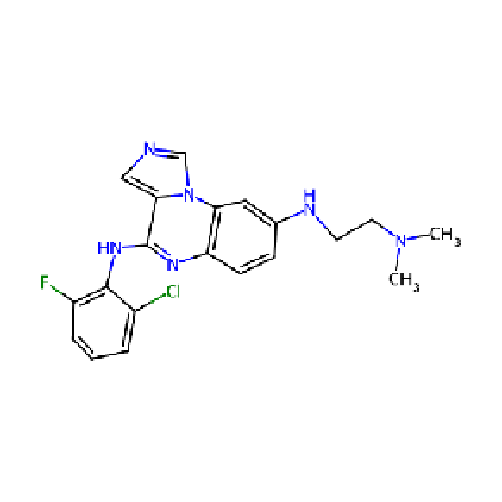 CN(C)CCNc1ccc2nc(Nc3c(F)cccc3Cl)c3cncn3c2c1